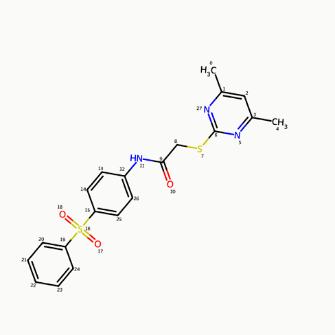 Cc1cc(C)nc(SCC(=O)Nc2ccc(S(=O)(=O)c3ccccc3)cc2)n1